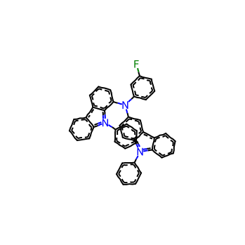 Fc1cccc(N(c2ccc3c(c2)c2ccccc2n3-c2ccccc2)c2cccc3c4ccccc4n(-c4ccccc4)c23)c1